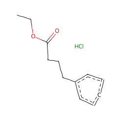 CCOC(=O)CCCc1ccccc1.Cl